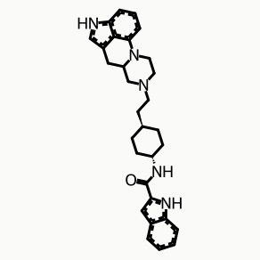 O=C(N[C@H]1CC[C@H](CCN2CCN3c4cccc5[nH]cc(c45)CC3C2)CC1)c1cc2ccccc2[nH]1